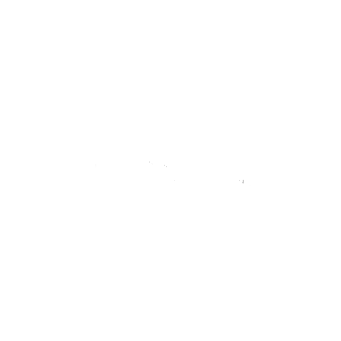 CC1CCN(NC(=O)c2ccc(N)c(F)c2)CC1